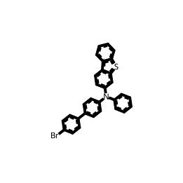 Brc1ccc(-c2ccc(N(c3ccccc3)c3ccc4c(c3)sc3ccccc34)cc2)cc1